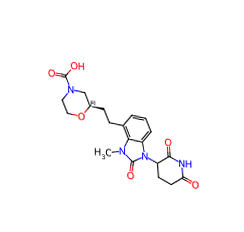 Cn1c(=O)n(C2CCC(=O)NC2=O)c2cccc(CC[C@@H]3CN(C(=O)O)CCO3)c21